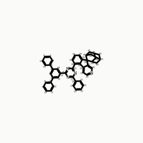 c1ccc(-c2cc(-c3ccccc3)cc(-c3nc(-c4ccccc4)nc(-c4cccc5c4-c4ccncc4C54C5CC6CC(C5)CC4C6)n3)c2)cc1